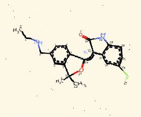 CCNCc1ccc2c(c1)C(C)(C)O/C2=C1/C(=O)Nc2ccc(F)cc21